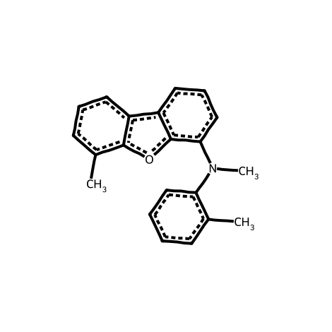 Cc1ccccc1N(C)c1cccc2c1oc1c(C)cccc12